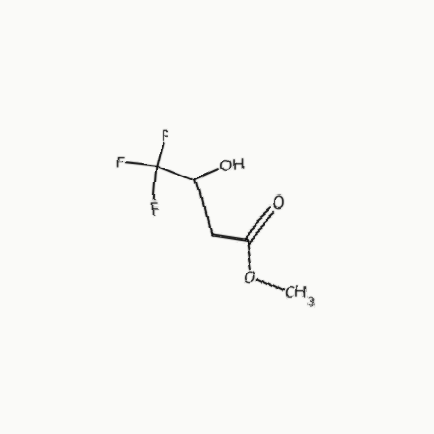 COC(=O)CC(O)C(F)(F)F